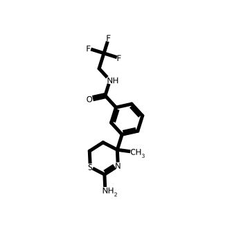 CC1(c2cccc(C(=O)NCC(F)(F)F)c2)CCSC(N)=N1